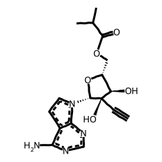 C#C[C@@]1(O)[C@H](O)[C@@H](COC(=O)C(C)C)O[C@H]1n1ccc2c(N)ncnc21